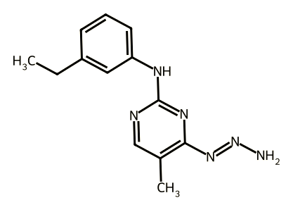 CCc1cccc(Nc2ncc(C)c(N=NN)n2)c1